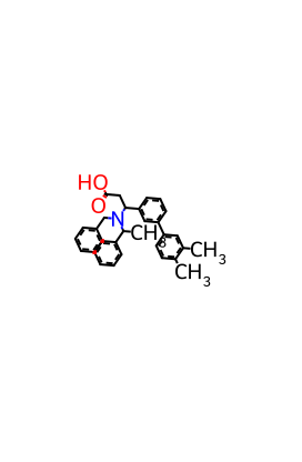 Cc1ccc(-c2cccc(C(CC(=O)O)N(Cc3ccccc3)C(C)c3ccccc3)c2)cc1C